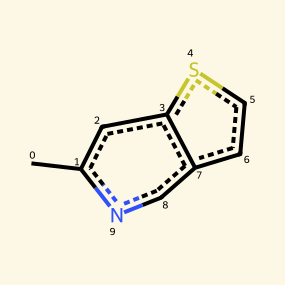 Cc1cc2sccc2cn1